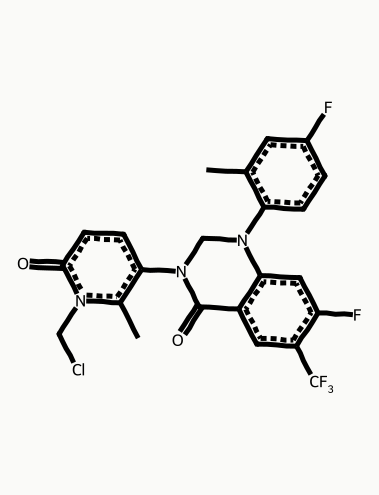 Cc1cc(F)ccc1N1CN(c2ccc(=O)n(CCl)c2C)C(=O)c2cc(C(F)(F)F)c(F)cc21